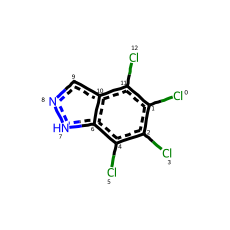 Clc1c(Cl)c(Cl)c2[nH]ncc2c1Cl